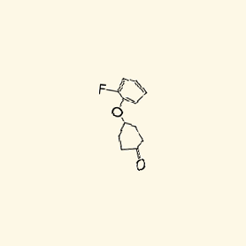 O=C1CCC(Oc2ccccc2F)CC1